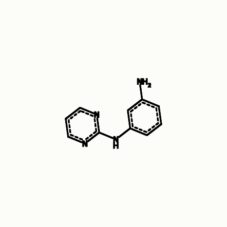 Nc1cccc(Nc2ncccn2)c1